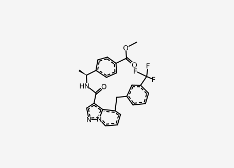 COC(=O)c1ccc([C@H](C)NC(=O)c2cnn3cccc(Cc4cccc(C(F)(F)F)c4)c23)cc1